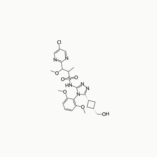 COc1cccc(OC)c1-n1c(NS(=O)(=O)C(C)C(OC)c2ncc(Cl)cn2)nnc1[C@H]1C[C@@H](CO)C1